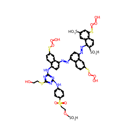 O=S(=O)(O)OCCS(=O)(=O)c1ccc(Nc2nc(Nc3ccc(N=Nc4ccc(N=Nc5c(S(=O)(=O)O)ccc6c(SOOO)cc(S(=O)(=O)O)cc56)c5cc(SOOO)ccc45)c4cc(SOOO)ccc34)nc(SCCO)n2)cc1